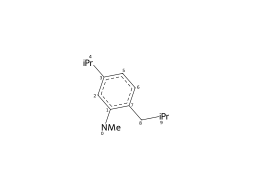 CNc1cc(C(C)C)ccc1CC(C)C